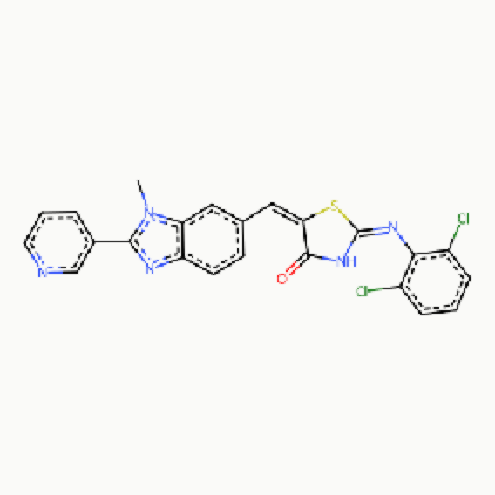 Cn1c(-c2cccnc2)nc2ccc(C=C3SC(=Nc4c(Cl)cccc4Cl)NC3=O)cc21